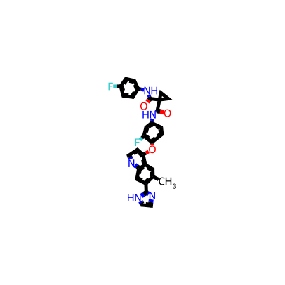 Cc1cc2c(Oc3ccc(NC(=O)C4(C(=O)Nc5ccc(F)cc5)CC4)cc3F)ccnc2cc1-c1ncc[nH]1